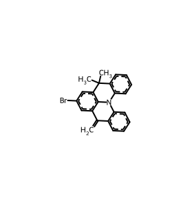 C=C1c2ccccc2N2c3ccccc3C(C)(C)c3cc(Br)cc1c32